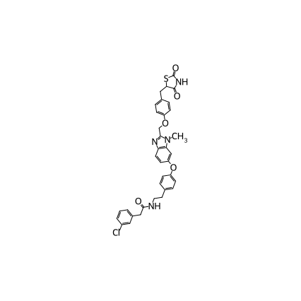 Cn1c(COc2ccc(CC3SC(=O)NC3=O)cc2)nc2ccc(Oc3ccc(CCNC(=O)Cc4cccc(Cl)c4)cc3)cc21